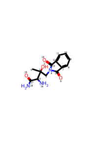 CC(O)(CN1C(=O)c2ccccc2C1=O)C(N)C(N)=O